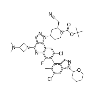 Cc1c(Cl)cc2c(cnn2C2CCCCO2)c1-c1c(Cl)cc2c(nc(N3CC(N(C)C)C3)c3cnn([C@H]4CCN(C(=O)OC(C)(C)C)[C@H](CC#N)C4)c32)c1F